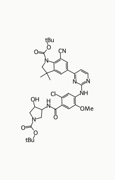 COc1cc(C(=O)NC2CN(C(=O)OC(C)(C)C)CC2O)c(Cl)cc1Nc1nccc(-c2cc(C#N)c3c(c2)C(C)(C)CN3C(=O)OC(C)(C)C)n1